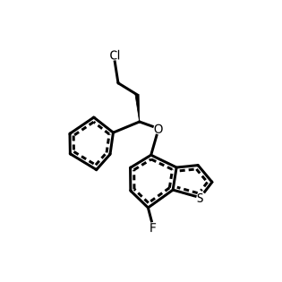 Fc1ccc(O[C@H](CCCl)c2ccccc2)c2ccsc12